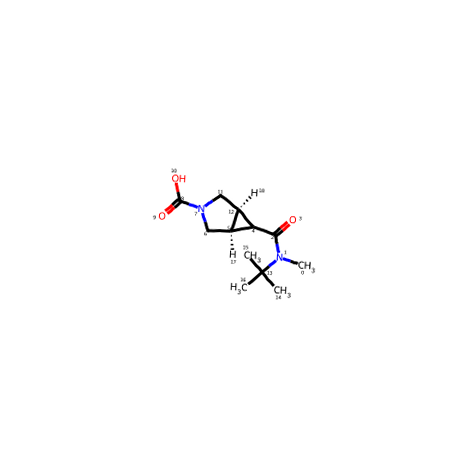 CN(C(=O)C1[C@H]2CN(C(=O)O)C[C@@H]12)C(C)(C)C